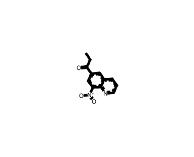 CCC(=O)c1cc([N+](=O)[O-])c2ncccc2c1